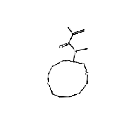 C=C(C)C(=O)N(C)C1CCCCCCCCCCC1